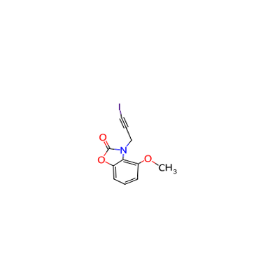 COc1cccc2oc(=O)n(CC#CI)c12